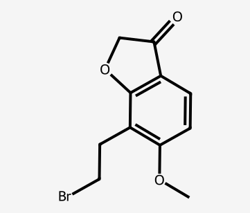 COc1ccc2c(c1CCBr)OCC2=O